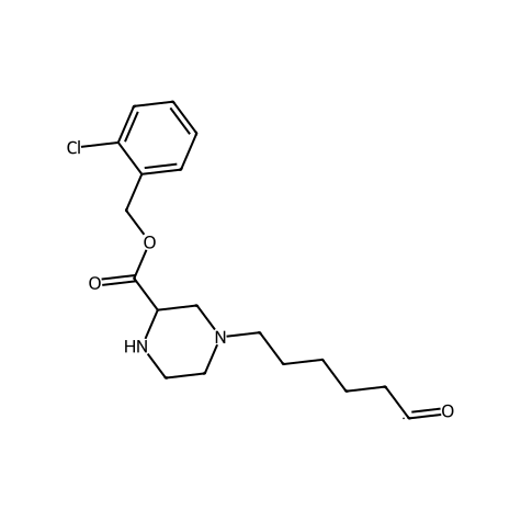 O=[C]CCCCCN1CCNC(C(=O)OCc2ccccc2Cl)C1